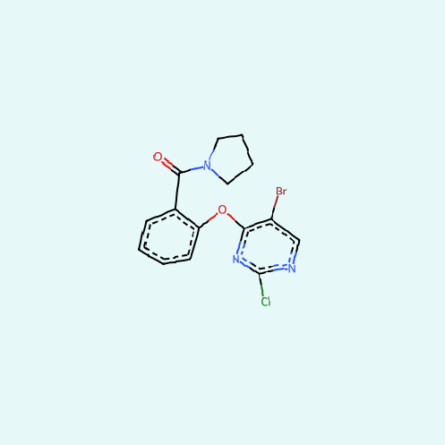 O=C(c1ccccc1Oc1nc(Cl)ncc1Br)N1CCCC1